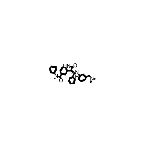 CN(C)Cc1cccc(N/C(=C2\C(=O)Nc3ccc(C(=O)N(C)c4ccccc4)cc32)c2ccccc2)c1